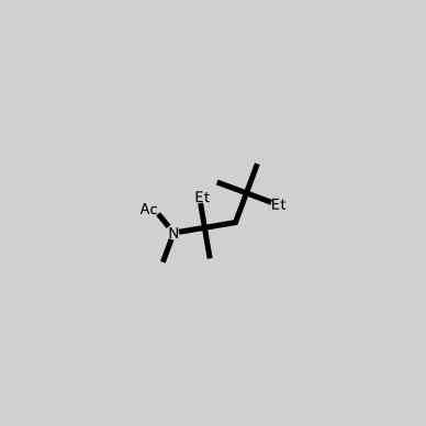 CCC(C)(C)CC(C)(CC)N(C)C(C)=O